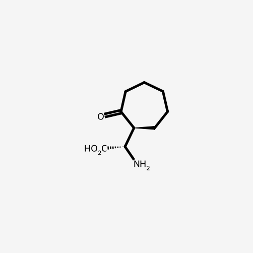 N[C@H](C(=O)O)[C@@H]1CCCCCC1=O